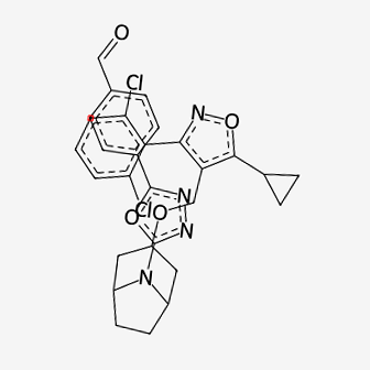 O=Cc1ccc(-c2nnc(N3C4CCC3CC(OCc3c(-c5c(Cl)cccc5Cl)noc3C3CC3)C4)o2)cc1